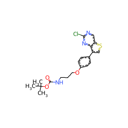 CC(C)(C)OC(=O)NCCCOc1ccc(-c2csc3cnc(Cl)nc23)cc1